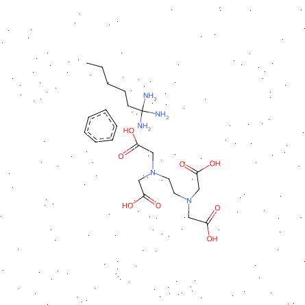 CCCCCC(N)(N)N.O=C(O)CN(CCN(CC(=O)O)CC(=O)O)CC(=O)O.c1ccccc1